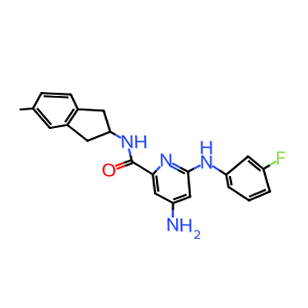 Cc1ccc2c(c1)CC(NC(=O)c1cc(N)cc(Nc3cccc(F)c3)n1)C2